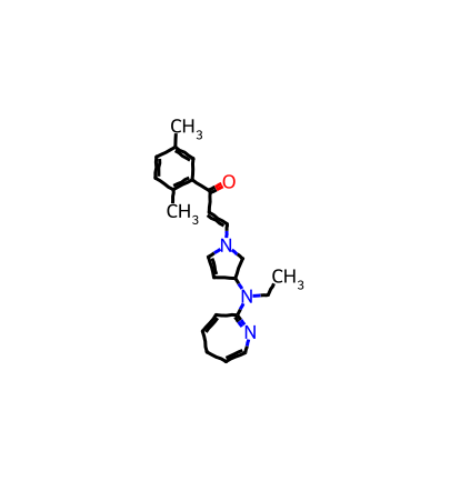 CCN(C1=NC=CCC=C1)C1C=CN(/C=C/C(=O)c2cc(C)ccc2C)C1